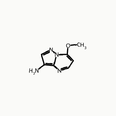 COc1ccnc2c(N)cnn12